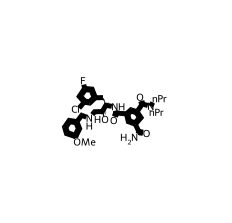 CCCN(CCC)C(=O)c1cc(C(N)=O)cc(C(=O)N[C@@H](Cc2cc(F)cc(Cl)c2)[C@H](O)CNCc2cccc(OC)c2)c1